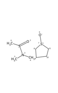 CC(=O)N(C)C.[O-][S+]1CCCC1